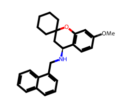 COc1ccc2c(c1)OC1(CCCCC1)C[C@@H]2NCc1cccc2ccccc12